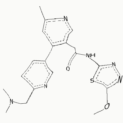 COc1nnc(NC(=O)c2cnc(C)cc2-c2ccc(CN(C)C)nc2)s1